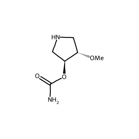 CO[C@H]1CNC[C@@H]1OC(N)=O